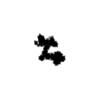 CC1(C)c2ccccc2-c2ccc(N(c3ccc(-c4ccc5c(c4)c4cc(-c6ccc(C7(c8ccccc8)c8ccccc8-c8ccccc87)cc6)ccc4n5-c4ccccc4)cc3)c3cc4ccccc4c4ccccc34)cc21